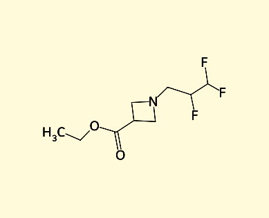 CCOC(=O)C1CN(CC(F)C(F)F)C1